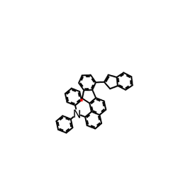 C1=C(c2cccc3c2-c2ccc4cccc(N(c5ccccc5)c5ccccc5)c4c2C3)Cc2ccccc21